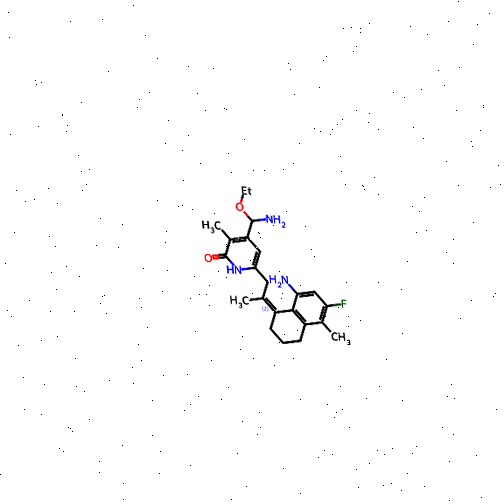 CCOC(N)c1cc(C/C(C)=C2/CCCc3c(C)c(F)cc(N)c32)[nH]c(=O)c1C